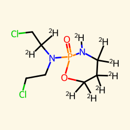 [2H]N1C([2H])([2H])C([2H])([2H])C([2H])([2H])OP1(=O)N(CCCl)C([2H])([2H])CCl